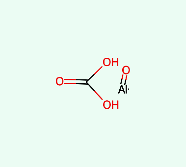 O=C(O)O.[O]=[Al]